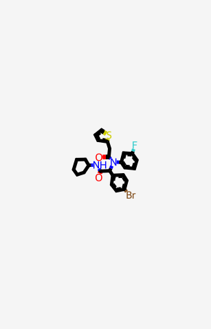 O=C(NC1CCCCC1)C(c1ccc(Br)cc1)N(C(=O)Cc1cccs1)c1cccc(F)c1